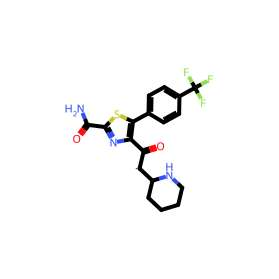 NC(=O)c1nc(C(=O)[CH]C2CCCCN2)c(-c2ccc(C(F)(F)F)cc2)s1